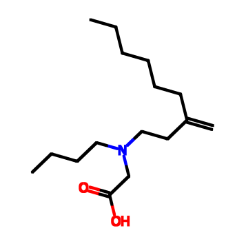 C=C(CCCCCC)CCN(CCCC)CC(=O)O